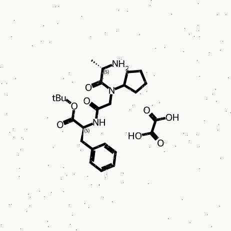 C[C@H](N)C(=O)N(CC(=O)N[C@@H](Cc1ccccc1)C(=O)OC(C)(C)C)C1CCCC1.O=C(O)C(=O)O